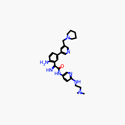 CN(C)CCNc1ccc(NC(=O)C(=N)c2cc(-c3cncc(CN4CCCCC4)c3)ccc2N)cn1